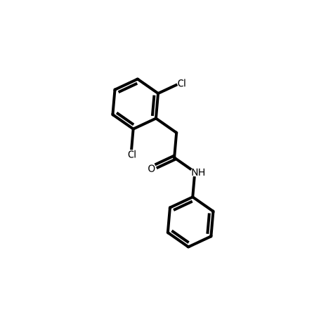 O=C(Cc1c(Cl)cccc1Cl)Nc1ccccc1